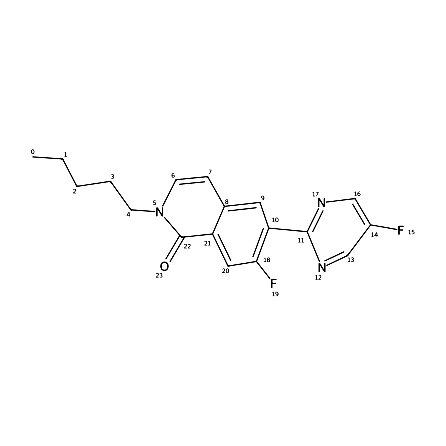 CCCCCn1ccc2cc(-c3ncc(F)cn3)c(F)cc2c1=O